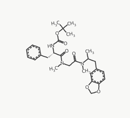 CC(Cc1ccc2c(c1)OCO2)N(C)C(=O)CN(C)C(=O)[C@H](Cc1ccccc1)NC(=O)OC(C)(C)C